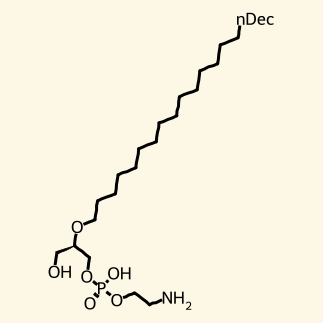 CCCCCCCCCCCCCCCCCCCCCCCCCO[C@H](CO)COP(=O)(O)OCCN